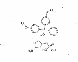 B[C@H]1CC(OP(=O)(O)O)[C@@H](COC(c2ccccc2)(c2ccc(OC)cc2)c2ccc(OC)cc2)O1